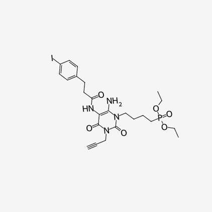 C#CCn1c(=O)c(NC(=O)CCc2ccc(I)cc2)c(N)n(CCCCP(=O)(OCC)OCC)c1=O